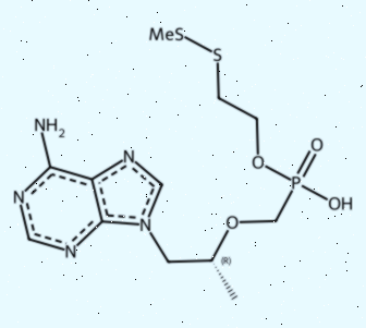 CSSCCOP(=O)(O)CO[C@H](C)Cn1cnc2c(N)ncnc21